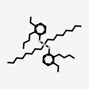 CCCCCCC[CH2][Sn]([CH2]CCCCCCC)([O]c1cccc(CC)c1CCCC)[O]c1cccc(CC)c1CCCC